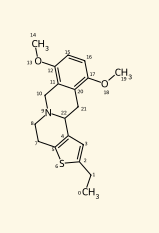 CCc1cc2c(s1)CCN1Cc3c(OC)ccc(OC)c3CC21